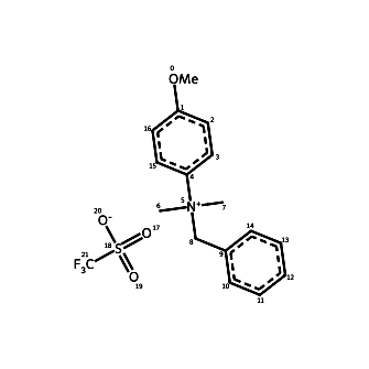 COc1ccc([N+](C)(C)Cc2ccccc2)cc1.O=S(=O)([O-])C(F)(F)F